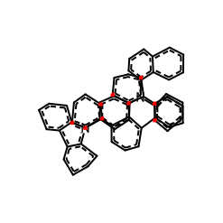 c1ccc(-c2ccccc2-c2c(-c3ccccc3)cccc2-c2ccccc2N(c2ccc(-n3c4ccccc4c4ccccc43)cc2)c2cccc3ccccc23)cc1